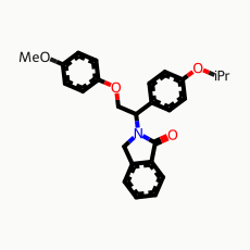 COc1ccc(OCC(c2ccc(OC(C)C)cc2)N2Cc3ccccc3C2=O)cc1